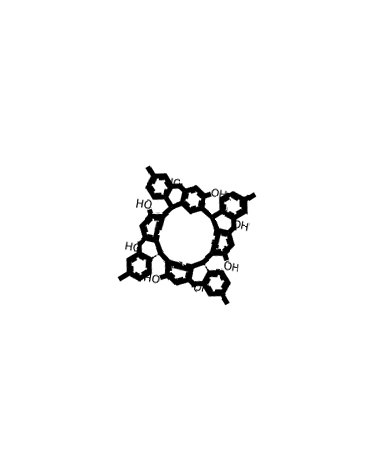 Cc1ccc(C2c3cc(c(O)cc3O)C(c3ccc(C)cc3C)c3cc(c(O)cc3O)[C@H](c3ccc(C)cc3C)c3cc(c(O)cc3O)[C@H](c3ccc(C)cc3C)c3cc2c(O)cc3O)c(C)c1